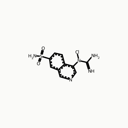 N=C(N)N(Cl)c1cncc2cc(S(N)(=O)=O)ccc12